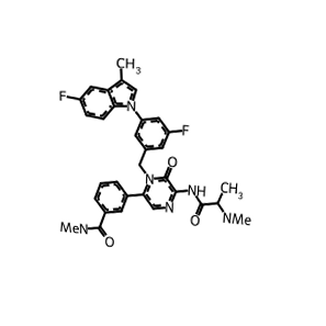 CNC(=O)c1cccc(-c2cnc(NC(=O)C(C)NC)c(=O)n2Cc2cc(F)cc(-n3cc(C)c4cc(F)ccc43)c2)c1